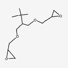 CC(C)(C)C(COCC1CO1)COCC1CO1